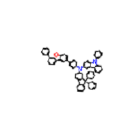 c1ccc(-c2cccc3c2oc2ccc(-c4ccc(N(c5ccc6c(c5)C(c5ccccc5)(c5ccccc5)c5ccccc5-6)c5ccc6c(c5)c5ccccc5n6-c5ccccc5)cc4)cc23)cc1